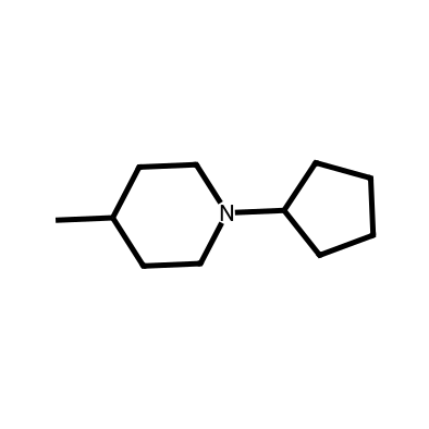 CC1CCN(C2CCCC2)CC1